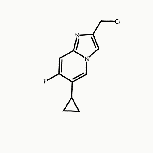 Fc1cc2nc(CCl)cn2cc1C1CC1